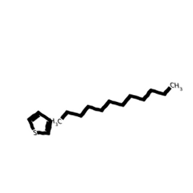 CCCCCCCCCCCC.c1ccsc1